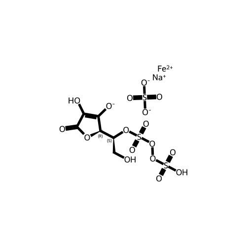 O=C1O[C@H]([C@H](CO)OS(=O)(=O)OOS(=O)(=O)O)C([O-])=C1O.O=S(=O)([O-])[O-].[Fe+2].[Na+]